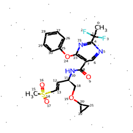 CC(F)(F)c1ncc(C(=O)N[C@H](/C=C/S(C)(=O)=O)COC2CC2)c(Oc2ccccc2)n1